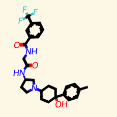 Cc1ccc(C2(O)CCC(N3CC[C@@H](NC(=O)CNC(=O)c4cccc(C(F)(F)F)c4)C3)CC2)cc1